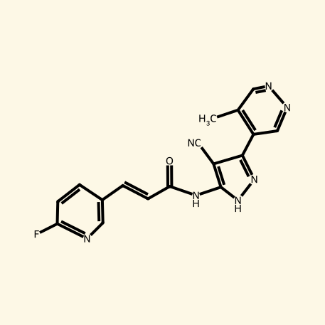 Cc1cnncc1-c1n[nH]c(NC(=O)C=Cc2ccc(F)nc2)c1C#N